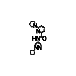 O=C(Nc1cnn(C2CCC2)c1)c1cccc(N2CCCC2)n1